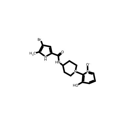 Cc1[nH]c(C(=O)NC2CCN(c3c(O)ccc[n+]3[O-])CC2)cc1Br